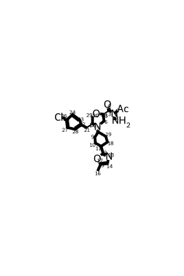 CC(=O)N(N)C(=O)[C@H]1CN(C2CCC(c3ncc(C)o3)CC2)[C@@H](Cc2ccc(Cl)cc2)CO1